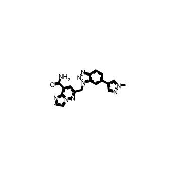 Cn1cc(-c2ccc3nnn(Cc4cc(C(N)=O)c5n[c]cn5n4)c3c2)cn1